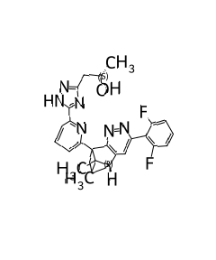 C[C@H](O)Cc1n[nH]c(-c2cccc(C34CC[C@@H](c5cc(-c6c(F)cccc6F)nnc53)C4(C)C)n2)n1